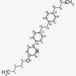 CCCCCOc1ccc(-c2ccc(CCc3ccc(CCCC)cc3)cc2)nc1